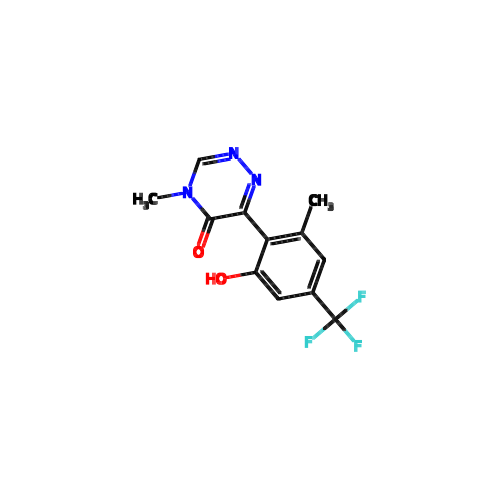 Cc1cc(C(F)(F)F)cc(O)c1-c1nncn(C)c1=O